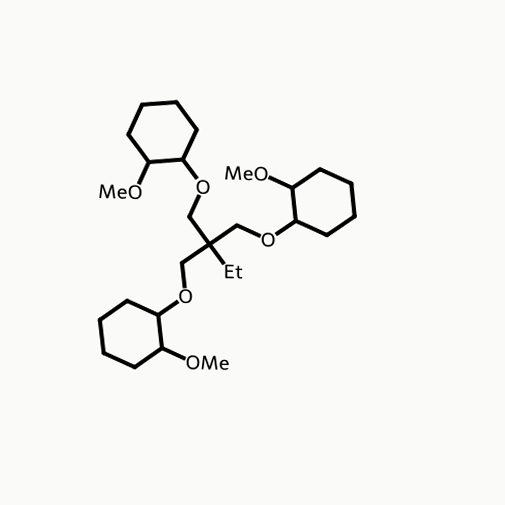 CCC(COC1CCCCC1OC)(COC1CCCCC1OC)COC1CCCCC1OC